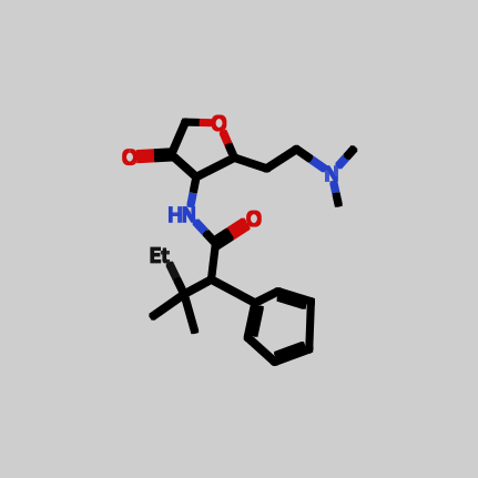 [CH2]CC(C)(C)C(C(=O)NC1C(=O)COC1CCN(C)C)c1ccccc1